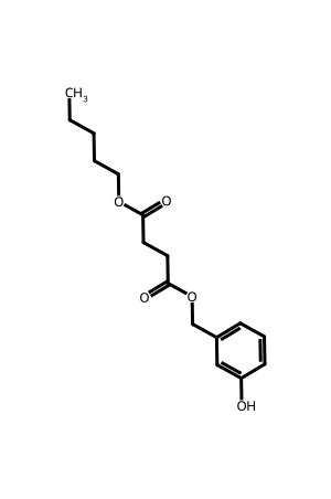 CCCCCOC(=O)CCC(=O)OCc1cccc(O)c1